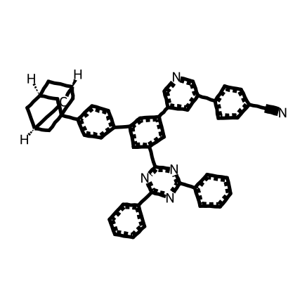 N#Cc1ccc(-c2cncc(-c3cc(-c4ccc(C56C[C@H]7C[C@H](C5)C[C@@H](C6)C7)cc4)cc(-c4nc(-c5ccccc5)nc(-c5ccccc5)n4)c3)c2)cc1